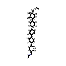 C/C=C/C1CCC(c2ccc(-c3ccc(-c4ccc(-c5ccc(OCCC)c(F)c5F)cc4)cc3)cc2)OC1